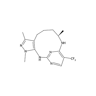 Cc1nn(C)c2c1CCC[C@@H](C)Nc1nc(ncc1C(F)(F)F)N2